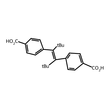 CC(C)(C)/C(=C(\c1ccc(C(=O)O)cc1)C(C)(C)C)c1ccc(C(=O)O)cc1